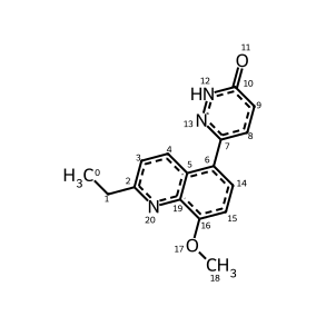 CCc1ccc2c(-c3ccc(=O)[nH]n3)ccc(OC)c2n1